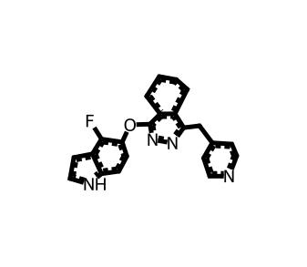 Fc1c(Oc2nnc(Cc3ccncc3)c3ccccc23)ccc2[nH]ccc12